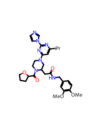 COc1ccc(CNC(=O)CC2CN(c3cc(C(C)C)nc(-n4ccnc4)n3)CCN2C(=O)C2CCCO2)cc1OC